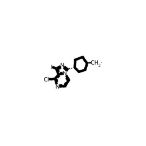 [CH2][C@H]1CC[C@H](c2nc(I)c3c(Cl)nccn32)CC1